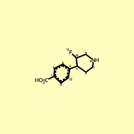 O=C(O)c1ccc(C2CCNCC2F)cc1